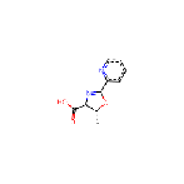 C[C@H]1OC(c2ccccn2)=N[C@@H]1C(=O)O